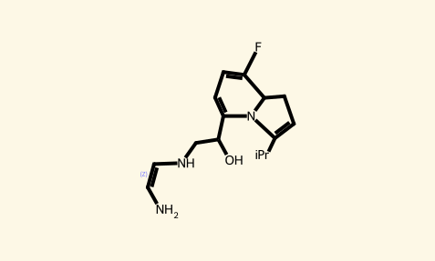 CC(C)C1=CCC2C(F)=CC=C(C(O)CN/C=C\N)N12